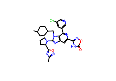 Cc1noc(C2CCCN2c2nc3cc(-c4noc(=O)[nH]4)nc(-c4cncc(Cl)c4)c3n2CC2CCC(C)CC2)n1